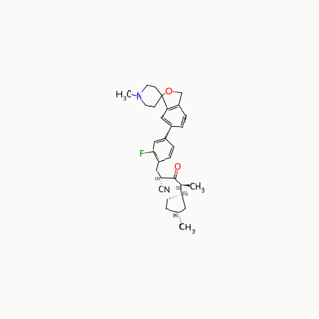 C[C@@H]1CC[C@H]([C@H](C)C(=O)[C@H](C#N)Cc2ccc(-c3ccc4c(c3)C3(CCN(C)CC3)OC4)cc2F)C1